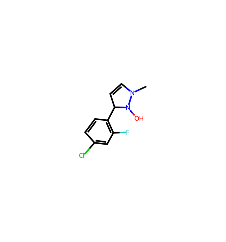 CN1C=CC(c2ccc(Cl)cc2F)N1O